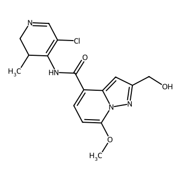 COc1ccc(C(=O)NC2=C(Cl)C=NCC2C)c2cc(CO)nn12